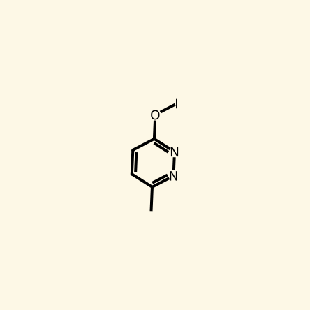 Cc1ccc(OI)nn1